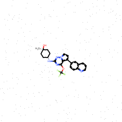 C[C@]1(O)CC[C@H](Nc2nc(OC(F)(F)F)c3c(-c4ccc5ncccc5c4)ccn3n2)CC1